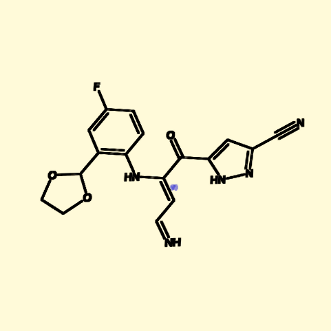 N#Cc1cc(C(=O)/C(=C/C=N)Nc2ccc(F)cc2C2OCCO2)[nH]n1